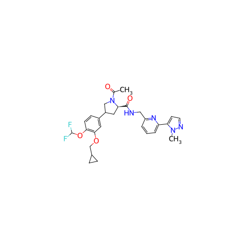 CC(=O)N1CC(c2ccc(OC(F)F)c(OCC3CC3)c2)C[C@@H]1C(=O)NCc1cccc(-c2ccnn2C)n1